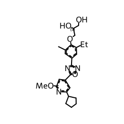 CCc1cc(-c2noc(-c3cc(OC)nc(C4CCCC4)c3)n2)cc(C)c1OC[C@@H](O)CO